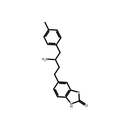 Cc1ccc(CC(N)CCc2ccc3[nH]c(=O)sc3c2)cc1